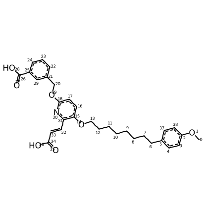 COc1ccc(CCCCCCCCOc2ccc(OCc3cccc(C(=O)O)c3)nc2C=CC(=O)O)cc1